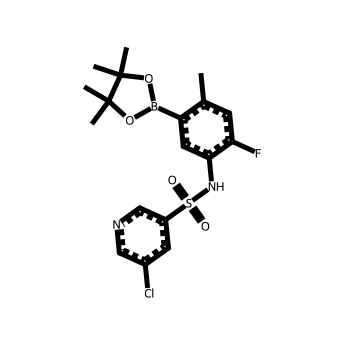 Cc1cc(F)c(NS(=O)(=O)c2cncc(Cl)c2)cc1B1OC(C)(C)C(C)(C)O1